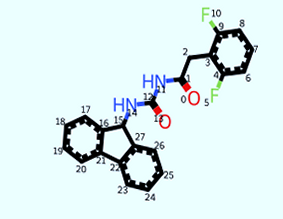 O=C(Cc1c(F)cccc1F)NC(=O)NC1c2ccccc2-c2ccccc21